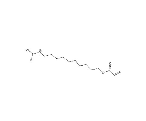 C=CC(=O)OCCCCCCCCCC[SiH2]C(Cl)Cl